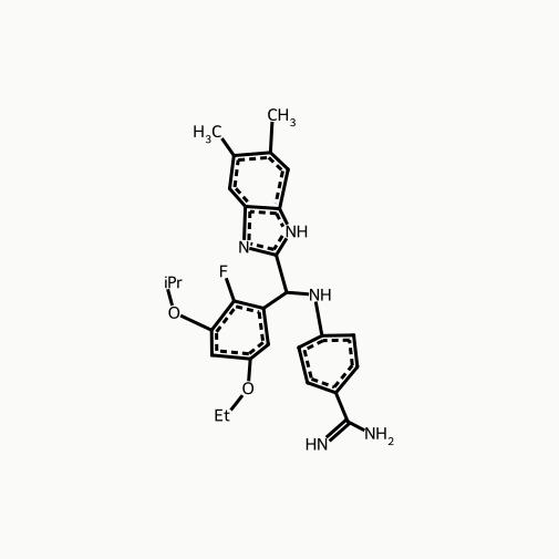 CCOc1cc(OC(C)C)c(F)c(C(Nc2ccc(C(=N)N)cc2)c2nc3cc(C)c(C)cc3[nH]2)c1